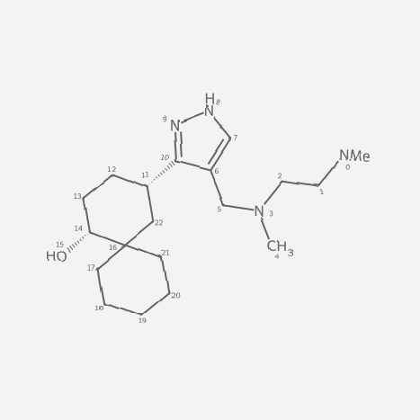 CNCCN(C)Cc1c[nH]nc1[C@H]1CC[C@@H](O)C2(CCCCC2)C1